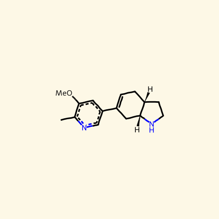 COc1cc(C2=CC[C@@H]3CCN[C@@H]3C2)cnc1C